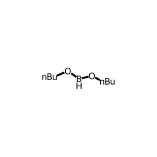 CCCCOBOCCCC